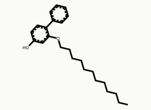 CCCCCCCCCCCCOc1cc(O)ccc1-c1ccccc1